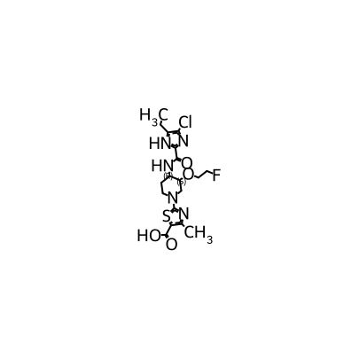 CCc1[nH]c(C(=O)N[C@@H]2CCN(c3nc(C)c(C(=O)O)s3)C[C@@H]2OCCF)nc1Cl